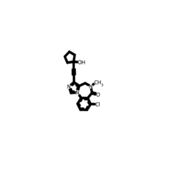 CN1Cc2c(C#CC3(O)CCCC3)ncn2-c2cccc(Cl)c2C1=O